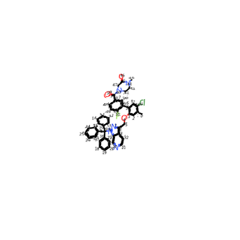 Cc1cc(OCc2nn(C(c3ccccc3)(c3ccccc3)c3ccccc3)c3cnccc23)c(-c2cc(C(=O)N3CCN(C)C(=O)C3)ccc2F)cc1Cl